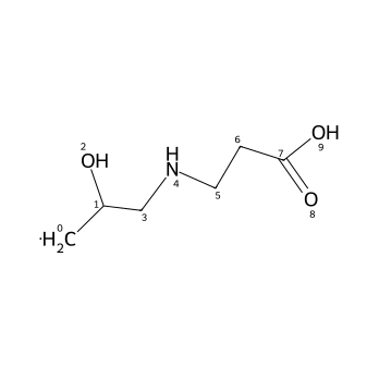 [CH2]C(O)CNCCC(=O)O